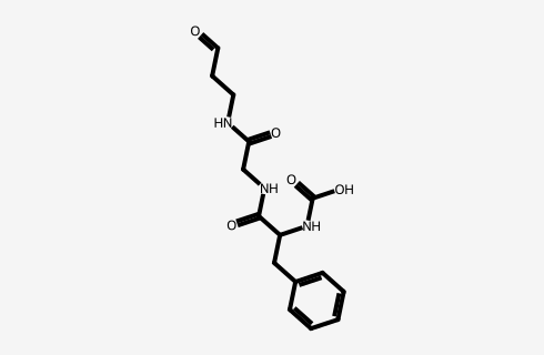 O=CCCNC(=O)CNC(=O)C(Cc1ccccc1)NC(=O)O